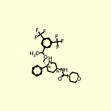 CC(OC[C@@]1(c2ccccc2)CC[C@H](NC(=O)N2CCOCC2)CN1)c1cc(C(F)(F)F)cc(C(F)(F)F)c1